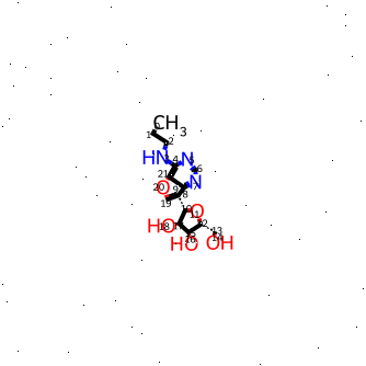 CCCNc1ncnc2c([C@@H]3O[C@H](CO)[C@@H](O)[C@H]3O)coc12